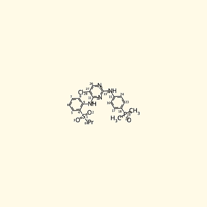 CC(C)S(=O)(=O)c1ccccc1Nc1nc(Nc2ccc(P(C)(C)=O)cc2)ncc1Cl